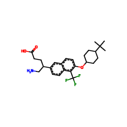 CC(C)(C)C1CCC(Oc2ccc3cc(C(CN)CCC(=O)O)ccc3c2C(F)(F)F)CC1